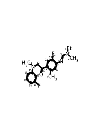 CCN(C)/C=N/c1cc(C)c(C(=O)CN(C)c2cccc(F)c2)cc1F